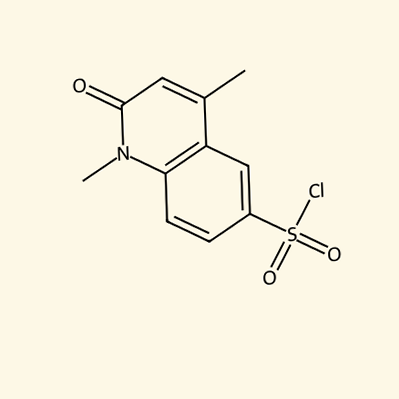 Cc1cc(=O)n(C)c2ccc(S(=O)(=O)Cl)cc12